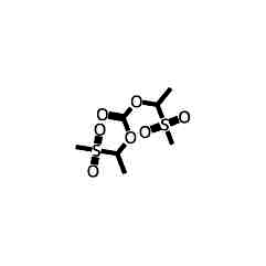 CC(OC(=O)OC(C)S(C)(=O)=O)S(C)(=O)=O